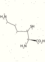 NCCCC(S)[C@H](N)C(=O)O